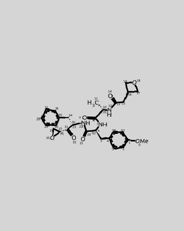 COc1ccc(C[C@H](NC(=O)[C@H](C)NC(=O)CC2COC2)C(=O)N[C@@H](Cc2ccccc2)C(=O)[C@H]2CO2)cc1